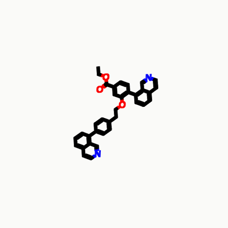 CCOC(=O)c1ccc(-c2cccc3ccncc23)c(OCCc2ccc(-c3cccc4ccncc34)cc2)c1